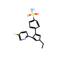 CCC1C=C(c2ccc(S(N)(=O)=O)cc2)C(c2ccc(F)cn2)=C1